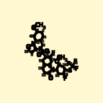 COc1ccc(CN(c2ccon2)S(=O)(=O)c2cc3ccc(=O)n(-c4cc(F)c(SC(F)(F)F)cc4OC)c3cc2F)cc1